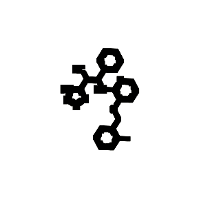 Cc1ccccc1COc1cccnc1NC(=C(C#N)c1nnn[nH]1)c1ccccc1